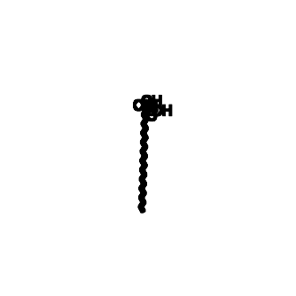 CCCCCCCCCCCCCCCCCCCCCCC(C(=O)O)S(=O)(=O)O